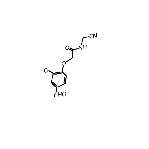 N#CCNC(=O)COc1ccc(C=O)cc1Cl